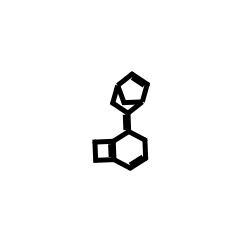 C1=CC2=C(CC2)C(=C2CC3C=CC2C3)C1